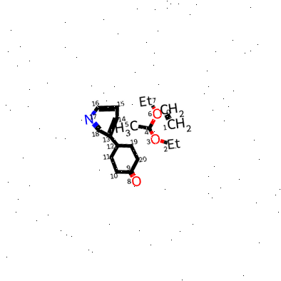 C=C.CCOC(C)OCC.O=C1CCC(c2cccnc2)CC1